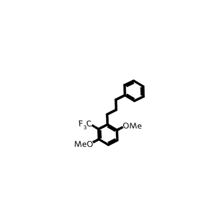 COc1ccc(OC)c(C(F)(F)F)c1CCCc1ccccc1